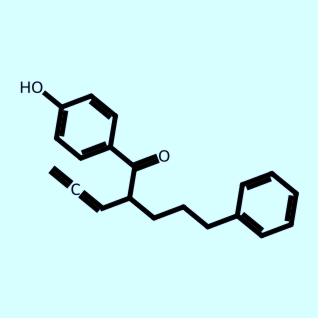 C=C=CC(CCCc1ccccc1)C(=O)c1ccc(O)cc1